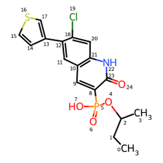 CCC(C)OP(=O)(O)c1cc2cc(-c3ccsc3)c(Cl)cc2[nH]c1=O